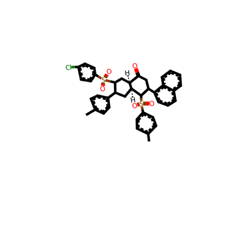 Cc1ccc(C2C[C@@H]3C(S(=O)(=O)c4ccc(C)cc4)C(c4cccc5ccccc45)CC(=O)[C@@H]3CC2S(=O)(=O)c2ccc(Cl)cc2)cc1